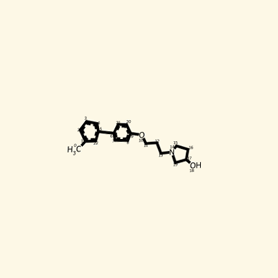 Cc1cccc(-c2ccc(OCCCN3CCC(O)C3)cc2)c1